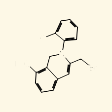 Cc1ccccc1N1Cc2c(C)cccc2C=C1CBr